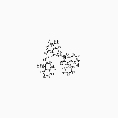 CCN1C(C)=C/C(=C/C=C/c2cc(C)c3ccccc3[n+]2CC)c2ccccc21.CN(C)C(=O)C(c1ccccc1)c1ccccc1.[I-]